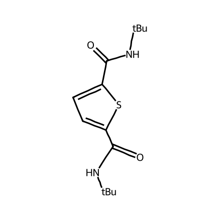 CC(C)(C)NC(=O)c1ccc(C(=O)NC(C)(C)C)s1